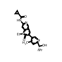 CCC[C@@H](O)c1cc(C)c(-c2cc3cnc(NC(=O)C4CC4)cc3n(CC)c2=O)cn1